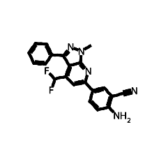 Cn1nc(-c2ccccc2)c2c(C(F)F)cc(-c3ccc(N)c(C#N)c3)nc21